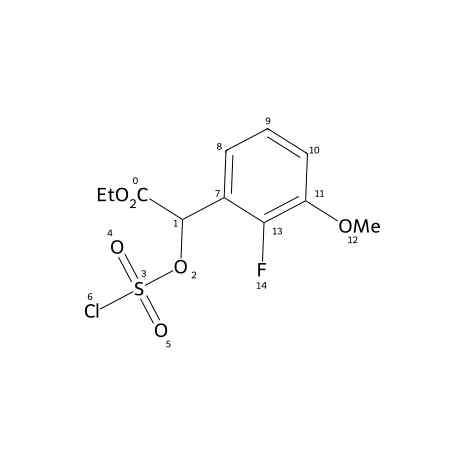 CCOC(=O)C(OS(=O)(=O)Cl)c1cccc(OC)c1F